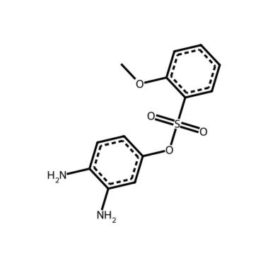 COc1ccccc1S(=O)(=O)Oc1ccc(N)c(N)c1